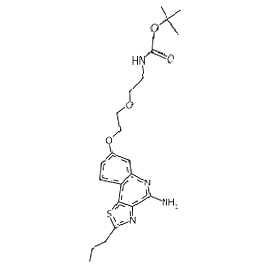 CCCc1nc2c(N)nc3cc(OCCOCCNC(=O)OC(C)(C)C)ccc3c2s1